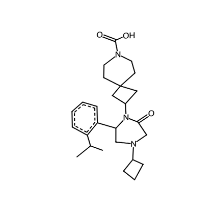 CC(C)c1ccccc1C1CN(C2CCC2)CC(=O)N1C1CC2(CCN(C(=O)O)CC2)C1